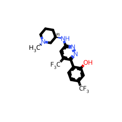 CN1CCC[C@@H](Nc2cc(C(F)(F)F)c(-c3ccc(C(F)(F)F)cc3O)nn2)C1